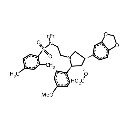 CCCN(CCN1C[C@H](c2ccc3c(c2)OCO3)[C@H](OC(=O)O)[C@H]1c1ccc(OC)cc1)S(=O)(=O)c1ccc(C)cc1C